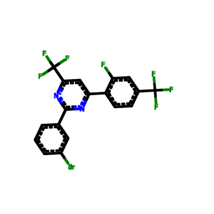 Fc1cc(C(F)(F)F)ccc1-c1cc(C(F)(F)F)nc(-c2cccc(Br)c2)n1